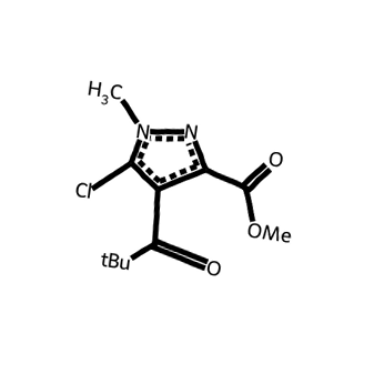 COC(=O)c1nn(C)c(Cl)c1C(=O)C(C)(C)C